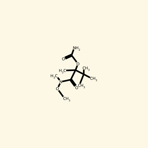 CON(C)C(=O)C(C)(OC(N)=O)C(C)(C)C